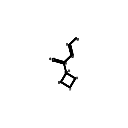 CC=CC(=O)N1CCC1